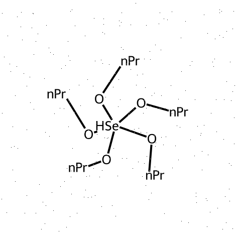 CCCO[SeH](OCCC)(OCCC)(OCCC)OCCC